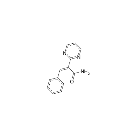 NC(=O)C(=Cc1ccccc1)c1ncccn1